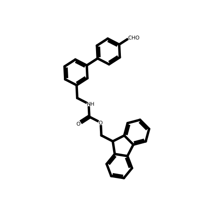 O=Cc1ccc(-c2cccc(CNC(=O)OCC3c4ccccc4-c4ccccc43)c2)cc1